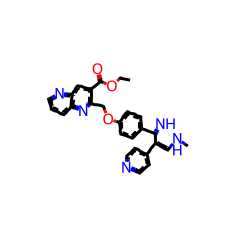 CCOC(=O)c1cc2ncccc2nc1COc1ccc(C(=N)/C(=C\NC)c2ccncc2)cc1